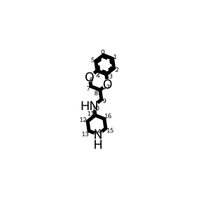 c1ccc2c(c1)OCC(CNC1CCNCC1)O2